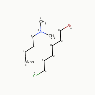 CCCCCCCCCCCCN(C)C.ClCCCCCCBr